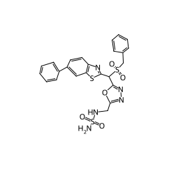 NS(=O)(=O)NCc1nnc(C(c2nc3ccc(-c4ccccc4)cc3s2)S(=O)(=O)Cc2ccccc2)o1